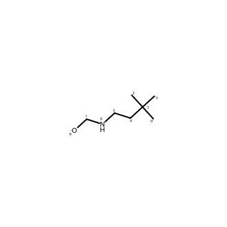 CC(C)(C)CCNC[O]